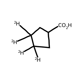 [2H]C1([2H])CC(C(=O)O)CC1([2H])[2H]